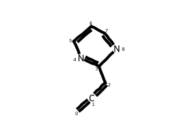 C=C=Cc1ncccn1